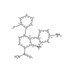 NC(=O)c1ccc(-c2ccccc2F)c2c1[nH]c1cc(N)ccc12